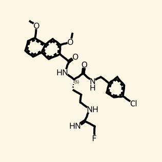 COc1cc2c(OC)cccc2cc1C(=O)N[C@@H](CCCNC(=N)CF)C(=O)NCc1ccc(Cl)cc1